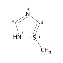 CS1=CN=[C]N1